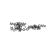 COC(=O)N[C@H](C(=O)N1CCC[C@H]1c1ncc(-c2ccc3cc(-c4ccc(-c5cnc([C@@H]6C[Si](C)(C)CN6C(=O)[C@@H](NC(=O)OC)C(C)OC)[nH]5)cc4)ccc3c2)[nH]1)C(C)C